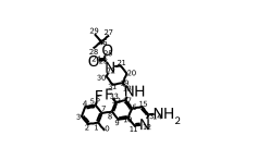 Cc1cccc(F)c1-c1cc2cnc(N)cc2c(NC2CCN(C(=O)OC(C)(C)C)CC2)c1F